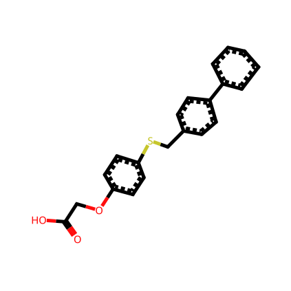 O=C(O)COc1ccc(SCc2ccc(-c3ccccc3)cc2)cc1